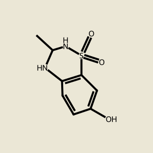 CC1Nc2ccc(O)cc2S(=O)(=O)N1